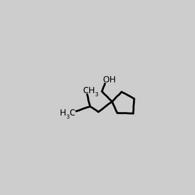 CC(C)CC1(CO)CCCC1